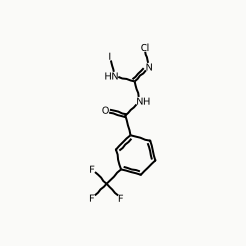 O=C(NC(=NCl)NI)c1cccc(C(F)(F)F)c1